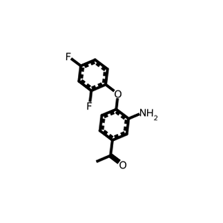 CC(=O)c1ccc(Oc2ccc(F)cc2F)c(N)c1